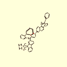 CC1(C)c2ccccc2-c2ccc(N(c3ccc(-c4ccc5c(ccc6oc(-c7ccccc7)nc65)c4)cc3)c3ccccc3-c3ccccc3)cc21